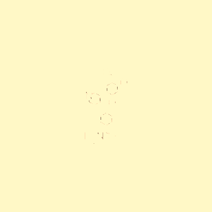 Cc1cc2c(c(C)c1O[C@H](c1ccncc1)c1ccc(C(N)=O)cc1)OCCC2=O